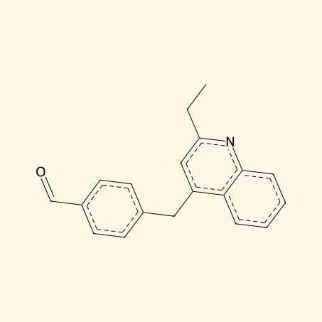 CCc1cc(Cc2ccc(C=O)cc2)c2ccccc2n1